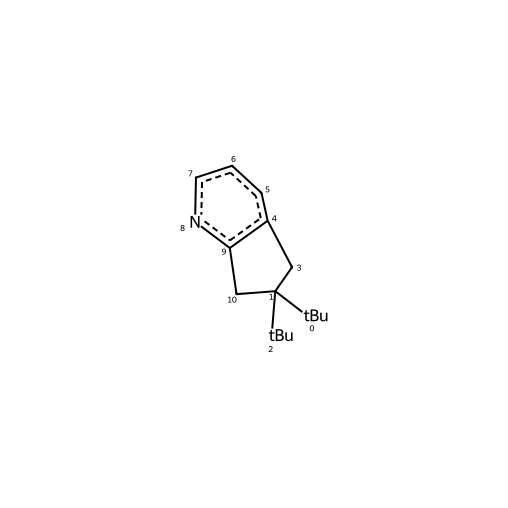 CC(C)(C)C1(C(C)(C)C)Cc2cccnc2C1